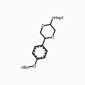 CCCCCCCC1COC(c2ccc(OCCCC)cc2)CO1